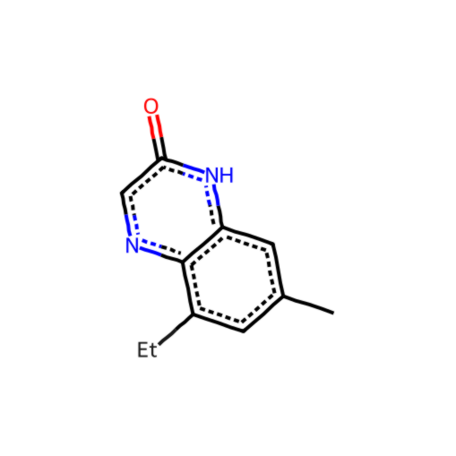 CCc1cc(C)cc2[nH]c(=O)cnc12